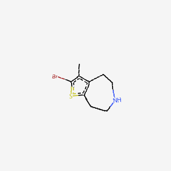 Cc1c(Br)sc2c1CCNCC2